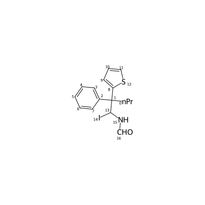 CCCC(c1ccccc1)(c1cccs1)C(I)NC=O